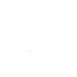 COc1nc(C2=CCOCC2)cc(-n2ccc(-c3cccc(C)c3)n2)n1